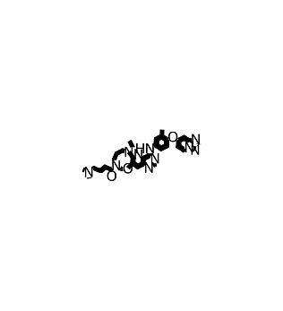 CCN1CCCN(C(=O)/C=C/CN(C)C)COc2cc3ncnc(Nc4ccc(Oc5ccn6ncnc6c5)c(C)c4)c3nc21